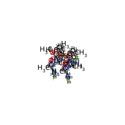 CCOC(=O)C[C@H](NC(=O)C(CC(C)C)n1cc(CCN2CC(F)C2)c(C)cc1=O)c1cc(-c2c(C)cccc2C)cc(F)c1F.Cc1cc(=O)n(C(CC(C)C)C(=O)N[C@@H](CC(=O)O)c2cc(-c3c(C)cccc3C)cc(F)c2F)cc1CCN1CC(F)C1